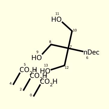 CC(=O)O.CC(=O)O.CC(=O)O.CCCCCCCCCCC(CO)(CO)CO